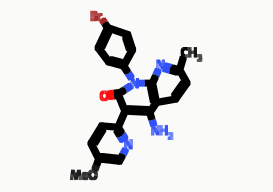 COc1ccc(-c2c(N)c3ccc(C)nc3n(-c3ccc(Br)cc3)c2=O)nc1